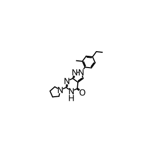 CCc1ccc(-n2cc3c(=O)[nH]c(N4CCCC4)nc3n2)c(C)c1